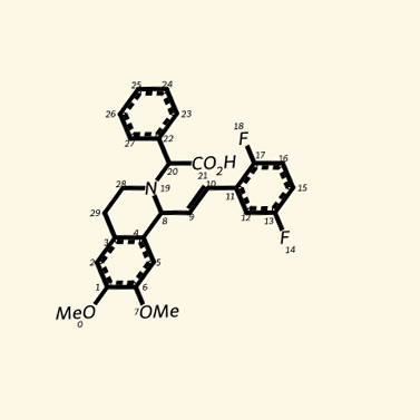 COc1cc2c(cc1OC)C(C=Cc1cc(F)ccc1F)N(C(C(=O)O)c1ccccc1)CC2